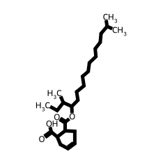 CCC(C)C(CCCCCCCCCCC(C)C)OC(=O)C1CC=CCC1C(=O)O